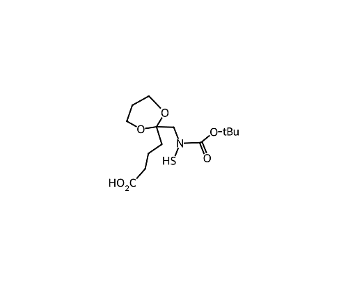 CC(C)(C)OC(=O)N(S)CC1(CCCC(=O)O)OCCCO1